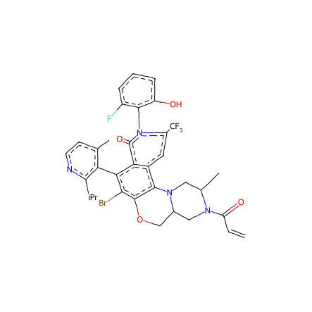 C=CC(=O)N1CC2COc3c(Br)c(-c4c(C)ccnc4C(C)C)c4c(=O)n(-c5c(O)cccc5F)c(C(F)(F)F)cc4c3N2CC1C